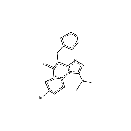 CN(C)c1nnc2n(Cc3ccccc3)c(=O)c3cc(Br)ccc3n12